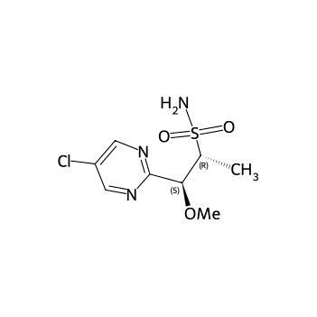 CO[C@@H](c1ncc(Cl)cn1)[C@@H](C)S(N)(=O)=O